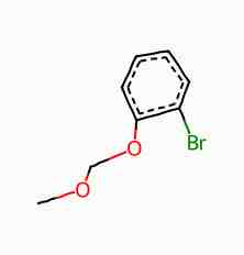 COCOc1ccccc1Br